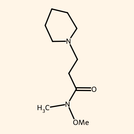 CON(C)C(=O)CCN1CCCCC1